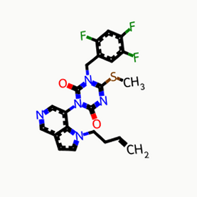 C=CCCn1ccc2cncc(-n3c(=O)nc(SC)n(Cc4cc(F)c(F)cc4F)c3=O)c21